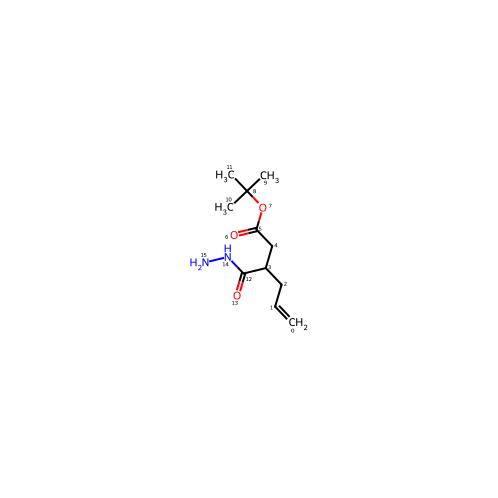 C=CCC(CC(=O)OC(C)(C)C)C(=O)NN